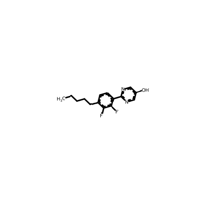 CCCCCc1ccc(-c2ncc(O)cn2)c(F)c1F